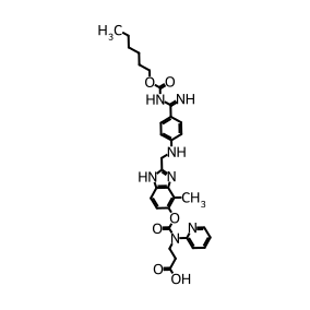 CCCCCCOC(=O)NC(=N)c1ccc(NCc2nc3c(C)c(OC(=O)N(CCC(=O)O)c4ccccn4)ccc3[nH]2)cc1